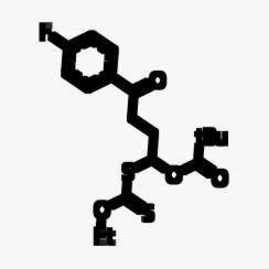 CCOC(=S)SC(CCC(=O)c1ccc(F)cc1)OC(=O)C(C)(C)C